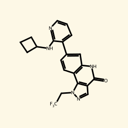 O=c1[nH]c2cc(-c3cccnc3NC3CCC3)ccc2c2c1cnn2CC(F)(F)F